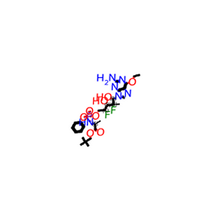 CCOc1nc(N)nc2c1ncn2[C@H](O)[C@](C)(F)[C@H](O)[C@@H](F)COP(=O)(N[C@@H](C)C(=O)OCC(C)(C)C)Oc1ccccc1